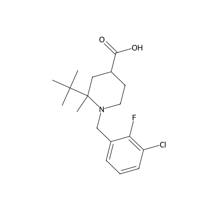 CC(C)(C)C1(C)CC(C(=O)O)CCN1Cc1cccc(Cl)c1F